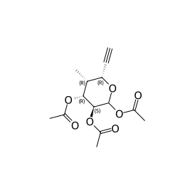 C#C[C@@H]1OC(OC(C)=O)[C@@H](OC(C)=O)[C@H](OC(C)=O)[C@@H]1C